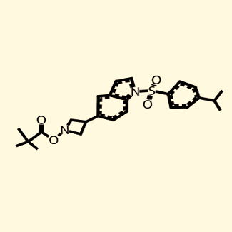 CC(C)c1ccc(S(=O)(=O)n2ccc3cc(C4CN(OC(=O)C(C)(C)C)C4)ccc32)cc1